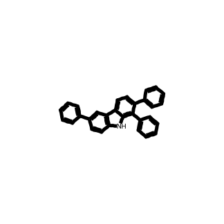 c1ccc(-c2ccc3[nH]c4c(-c5ccccc5)c(-c5ccccc5)ccc4c3c2)cc1